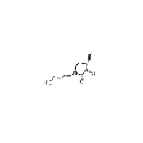 CCCCCN1CCN([C]=O)C(=O)C1=O